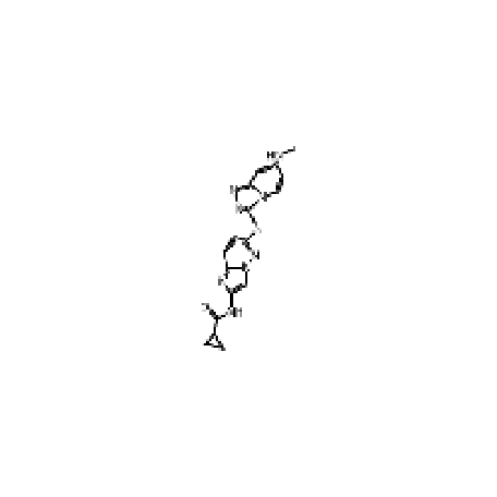 CNc1ccn2c(Sc3ccc4nc(NC(=O)C5CC5)cn4n3)nnc2c1